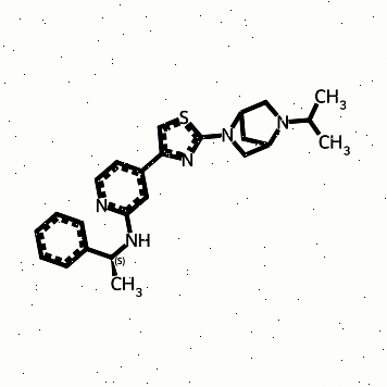 CC(C)N1CC2CC1CN2c1nc(-c2ccnc(N[C@@H](C)c3ccccc3)c2)cs1